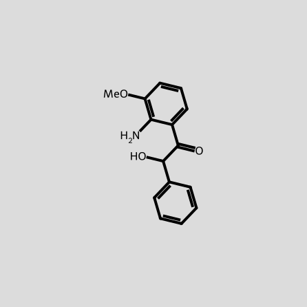 COc1cccc(C(=O)C(O)c2ccccc2)c1N